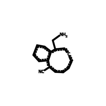 N#Cc1ccccccc(CN)c2ccccc12